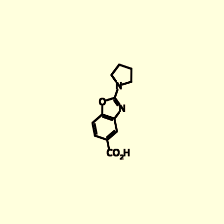 O=C(O)c1ccc2oc(N3CCCC3)nc2c1